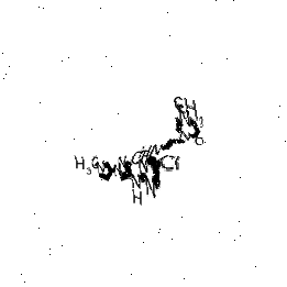 Cc1nn(C2CCN(C)C2)cc1Nc1ncc(Cl)c(NCCCN2CCN(C)CCC2=O)n1